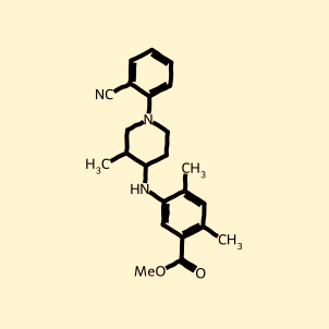 COC(=O)c1cc(NC2CCN(c3ccccc3C#N)CC2C)c(C)cc1C